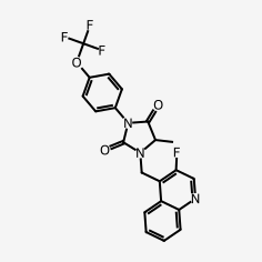 CC1C(=O)N(c2ccc(OC(F)(F)F)cc2)C(=O)N1Cc1c(F)cnc2ccccc12